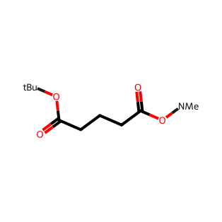 CNOC(=O)CCCC(=O)OC(C)(C)C